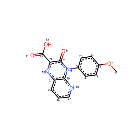 COc1ccc(-n2c(=O)c(C(=O)O)nc3cccnc32)cc1